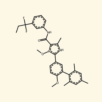 CCC(F)(F)c1cccc(NC(=O)c2c(C)[nH]c(-c3ccc(OC)c(-c4c(C)cc(C)cc4C)c3)[n+]2OC)c1